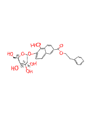 O=C(OCCc1ccccc1)c1ccc2c(O)c(OC3O[C@H](CO)[C@@H](O)[C@H](O)[C@H]3O)ccc2c1